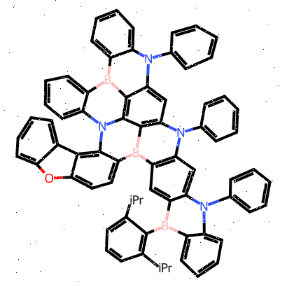 CC(C)c1cccc(C(C)C)c1B1c2ccccc2N(c2ccccc2)c2cc3c(cc21)B1c2ccc4oc5ccccc5c4c2N2c4ccccc4B4c5ccccc5N(c5ccccc5)c5cc(c1c2c54)N3c1ccccc1